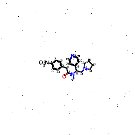 CN(C(=O)Cc1ccc([N+](=O)[O-])cc1)C(CN1CCCC1)c1ccncc1